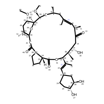 CO[C@H]1C[C@@H](C)C/C(C)=C/[C@@H](C)C(=O)C[C@H](O)[C@@H](C)[C@@H](/C(C)=C/[C@@H]2CC[C@@H](O)[C@H](O)C2)OC(=O)[C@@H]2CCCN2C(=O)C[C@]2(O)O[C@H]1[C@@H](OC)C[C@H]2C